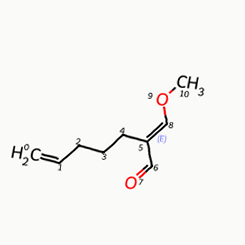 C=CCCC/C(C=O)=C\OC